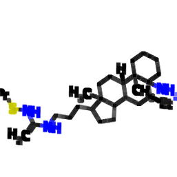 C=C(NCCCC1CCC2C3C[C@H](CC)C4(N)CCCCC4(C)[C@H]3CCC12C)NSC(C)C